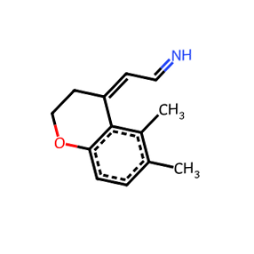 Cc1ccc2c(c1C)/C(=C\C=N)CCO2